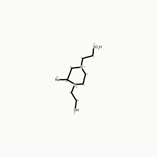 O=S(=O)(O)CCN1CCN(CCO)[CH]([Na])C1